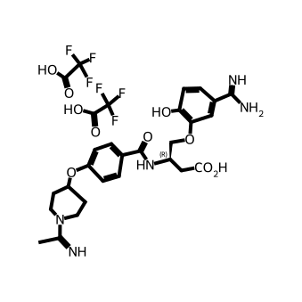 CC(=N)N1CCC(Oc2ccc(C(=O)N[C@@H](COc3cc(C(=N)N)ccc3O)CC(=O)O)cc2)CC1.O=C(O)C(F)(F)F.O=C(O)C(F)(F)F